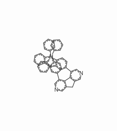 c1ccc(-n2c3ccccc3c3cc(-c4cncc5c4-c4c(cncc4-c4ccc6c(c4)c4ccccc4n6-c4ccccc4)C5)ccc32)cc1